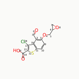 O=Cc1c(OCC2CO2)ccc2sc(C(=O)O)c(Cl)c12